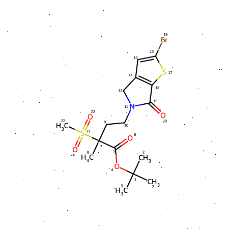 CC(C)(C)OC(=O)C(C)(CCN1Cc2cc(Br)sc2C1=O)S(C)(=O)=O